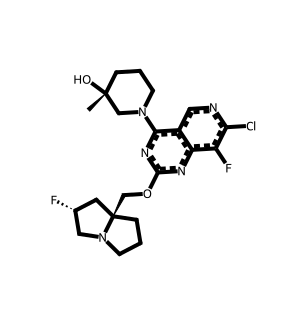 C[C@@]1(O)CCCN(c2nc(OC[C@@]34CCCN3C[C@H](F)C4)nc3c(F)c(Cl)ncc23)C1